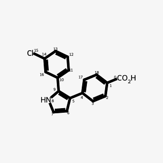 O=C(O)c1ccc(-c2cc[nH]c2-c2cccc(Cl)c2)cc1